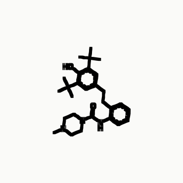 CN1CCN(C(=O)Nc2ccccc2CCc2cc(C(C)(C)C)c(O)c(C(C)(C)C)c2)CC1